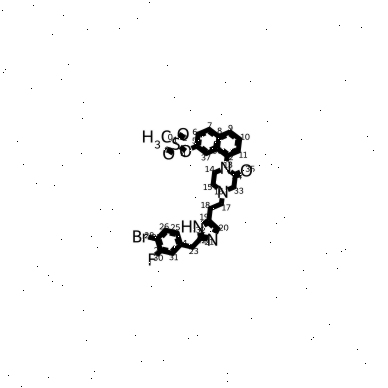 CS(=O)(=O)Oc1ccc2cccc(N3CCN(CCc4cnc(Cc5ccc(Br)c(F)c5)[nH]4)CC3=O)c2c1